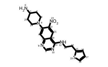 NC1CCN(c2cc3ncnc(NCCc4cccs4)c3cc2[N+](=O)[O-])CC1